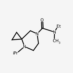 CCN(C)C(=O)N1CCN(C(C)C)C2(CC2)C1